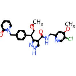 COCC(c1ccc(Cn2ccccc2=O)cc1)c1n[nH]cc1C(=O)NCc1cc(OC)c(Cl)cn1